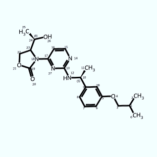 CC(C)COc1cccc([C@H](C)Nc2nccc(N3C(=O)OCC3[C@@H](C)O)n2)c1